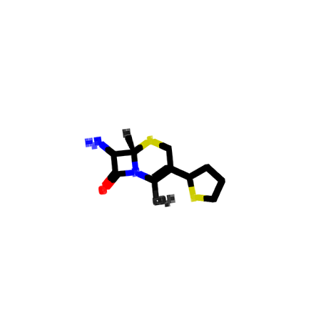 NC1C(=O)N2C(C(=O)O)=C(C3CCCS3)CS[C@@H]12